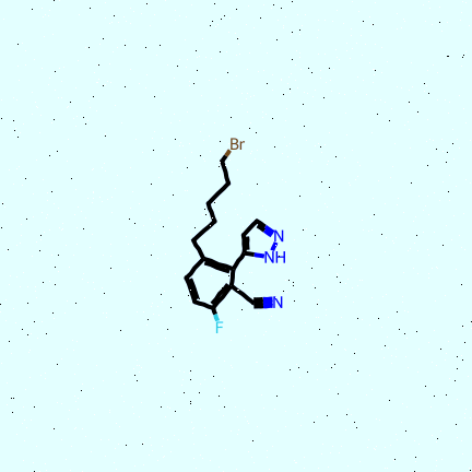 N#Cc1c(F)ccc(CCCCCBr)c1-c1ccn[nH]1